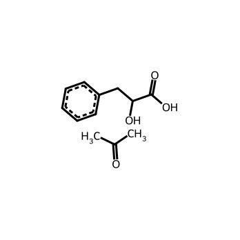 CC(C)=O.O=C(O)C(O)Cc1ccccc1